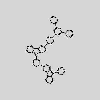 c1ccc(-c2cc(-c3ccccc3)nc(-c3ccc(-c4ccc5c(c4)c4ccccc4n5-c4cccc(-c5ccc6c(c5)c5ccccc5n6-c5ccccc5)c4)cc3)c2)cc1